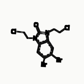 O=c1n(CCCl)c2cc(Br)c(Br)cc2n1CCCl